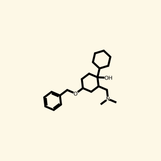 CN(C)CC1CC(OCc2ccccc2)CCC1(O)C1CCCCC1